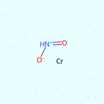 O=[NH+][O-].[Cr]